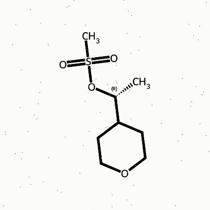 C[C@@H](OS(C)(=O)=O)C1CCOCC1